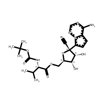 CC(C)[C@H](NC(=O)OC(C)(C)C)C(=O)OC[C@H]1O[C@](C#N)(c2ccc3c(N)ncnn23)[C@H](O)[C@@H]1O